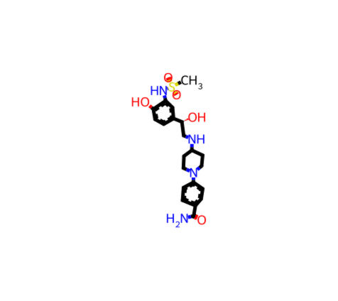 CS(=O)(=O)Nc1cc([C@H](O)CNC2CCN(c3ccc(C(N)=O)cc3)CC2)ccc1O